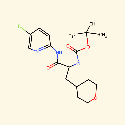 CC(C)(C)OC(=O)NC(CC1CCOCC1)C(=O)Nc1ccc(F)cn1